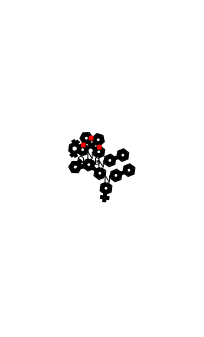 CC(C)(C)c1ccc(N(c2ccc(-c3ccccc3)cc2)c2ccc3c(c2)N(c2ccc(-c4ccccc4)cc2)B2c4cccc5c4N(c4cc6c(cc4C5(c4ccccc4)c4ccccc4)C(C)(C)CCC6(C)C)c4c2c-3cc2c4oc3ccccc32)cc1